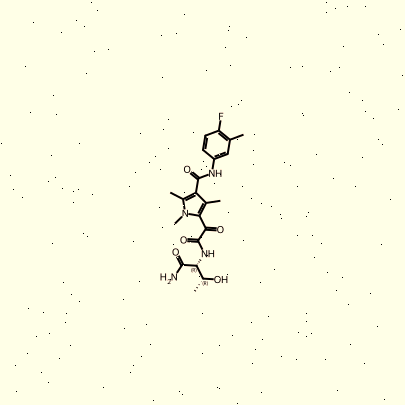 Cc1cc(NC(=O)c2c(C)c(C(=O)C(=O)N[C@@H](C(N)=O)[C@@H](C)O)n(C)c2C)ccc1F